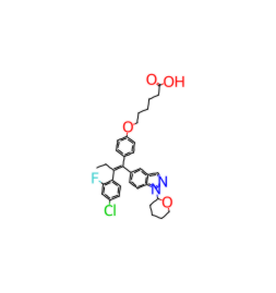 CCC(=C(c1ccc(OCCCCCC(=O)O)cc1)c1ccc2c(cnn2C2CCCCO2)c1)c1ccc(Cl)cc1F